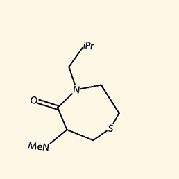 CNC1CSCCN(CC(C)C)C1=O